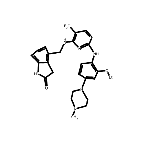 CCOc1cc(N2CCN(C)CC2)ccc1Nc1ncc(C(F)(F)F)c(NCc2cccc3c2CC(=O)N3)n1